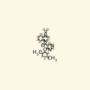 Cc1ccc(C)c(Oc2ncncc2C(=O)N2CCN(C3CC3)c3ccccc32)c1